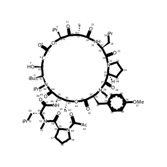 CC[C@H](C)[C@H]1[C@@H](O)CC(=O)O[C@@H](C(C)C)C(=O)[C@H](C)C(=O)N[C@@H](CC(C)C)C(=O)N2CCC[C@H]2C(=O)N(C)[C@@H](Cc2ccc(OC)cc2)C(=O)O[C@H](C)[C@H](NC(=O)[C@@H](CC(C)C)N(C)C(=O)[C@@H]2CCCN2C(=O)C(C)=O)C(=O)N1C(C)C